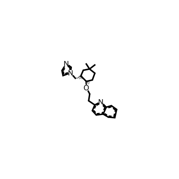 CC1(C)CC[C@@H](OCCc2ccc3ccccc3n2)[C@H](Cn2ccnc2)C1